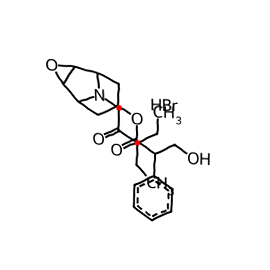 Br.CCC(CC)C(=O)CN1C2CC(OC(=O)C(CO)c3ccccc3)CC1C1OC12